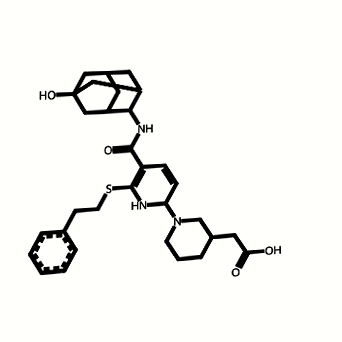 O=C(O)CC1CCCN(C2C=CC(C(=O)NC3C4CC5CC3CC(O)(C5)C4)=C(SCCc3ccccc3)N2)C1